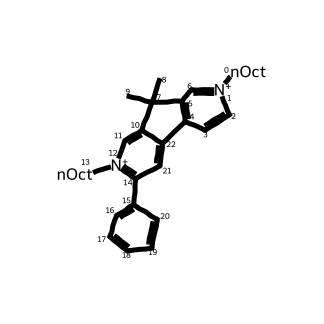 CCCCCCCC[n+]1ccc2c(c1)C(C)(C)c1c[n+](CCCCCCCC)c(-c3ccccc3)cc1-2